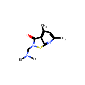 CCN(CC)Cn1sc2nc(C)cc(C)c2c1=O